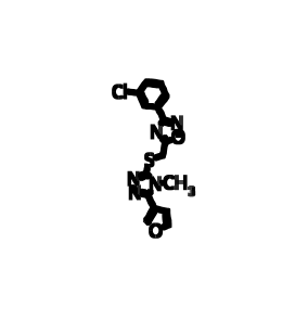 Cn1c(SCc2nc(-c3cccc(Cl)c3)no2)nnc1-c1ccoc1